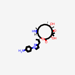 C/C(=C\c1ccn(-c2ccc(N)cc2)n1)[C@@H]1C[C@@H]2N[C@]2(C)CCC[C@H](C)[C@H](O)[C@@H](C)C(=O)C(C)(C)[C@@H](O)CC(=O)O1